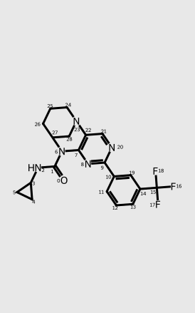 O=C(NC1CC1)N1c2nc(-c3cccc(C(F)(F)F)c3)ncc2N2CCCC1C2